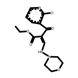 CCOC(=O)C(=CNN1CCOCC1)C(=O)c1cccnc1Cl